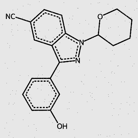 N#Cc1ccc2c(c1)c(-c1cccc(O)c1)nn2C1CCCCO1